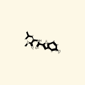 COC(=O)[C@@H](CC(C)C)NC(=O)c1cc2cc(Cl)ccc2o1